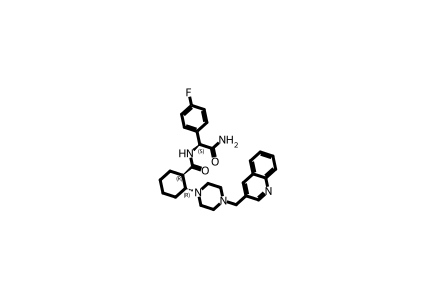 NC(=O)[C@@H](NC(=O)[C@@H]1CCCC[C@H]1N1CCN(Cc2cnc3ccccc3c2)CC1)c1ccc(F)cc1